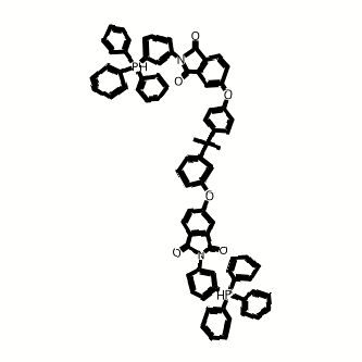 CC(C)(c1ccc(Oc2ccc3c(c2)C(=O)N(c2cccc([PH](c4ccccc4)(c4ccccc4)c4ccccc4)c2)C3=O)cc1)c1cccc(Oc2ccc3c(c2)C(=O)N(c2cccc([PH](c4ccccc4)(c4ccccc4)c4ccccc4)c2)C3=O)c1